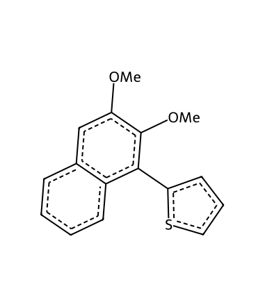 COc1cc2ccccc2c(-c2cccs2)c1OC